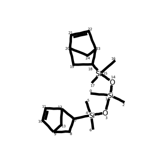 C[Si](C)(O[Si](C)(C)C1CC2C=CC1C2)O[Si](C)(C)C1CC2C=CC1C2